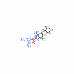 CNC(N)=NC(=O)c1cc2c(Cl)cc(Oc3cccnc3)cc2[nH]1